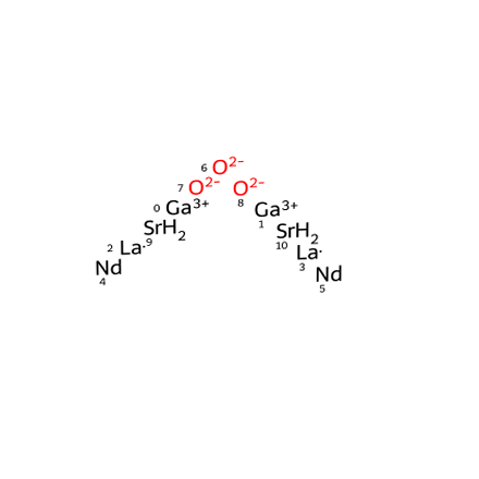 [Ga+3].[Ga+3].[La].[La].[Nd].[Nd].[O-2].[O-2].[O-2].[SrH2].[SrH2]